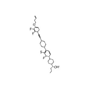 C=CCCOC1=CCC(C#CC2CCC(C3=C(F)C(F)C(C4CCC(C(O)CCC)CC4)C=C3)CC2)C(F)=C1F